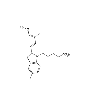 CCOC=C(C)C=CC1Sc2cc(C)ccc2N1CCCCS(=O)(=O)O